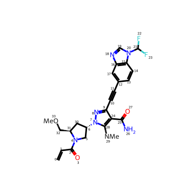 C=CC(=O)N1C[C@@H](n2nc(C#Cc3ccc4c(c3)ncn4C(F)F)c(C(N)=O)c2NC)C[C@@H]1COC